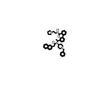 CC(c1cccc(-c2ccccc2C(=O)NCCN2CCCC2)c1)N(C(=O)Cc1ccc2ccccc2c1)C1CCN(Cc2ccccc2)CC1